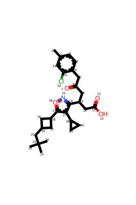 Cc1ccc(CC(=O)CC(CC(=O)O)c2noc(C3CC(CC(C)(C)C)C3)c2C2CC2)c(Cl)c1